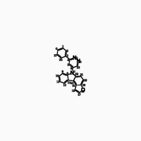 c1ccc(-c2cc(-n3c4ccccc4c4c5ccoc5ccc43)cnn2)cc1